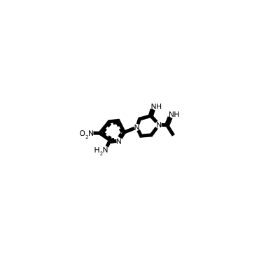 CC(=N)N1CCN(c2ccc([N+](=O)[O-])c(N)n2)CC1=N